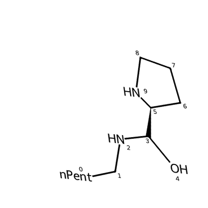 CCCCCCNC(O)[C@@H]1CCCN1